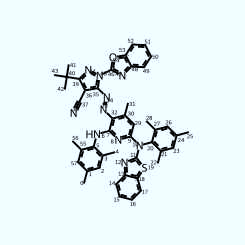 Cc1cc(C)c(Nc2nc(N(c3nc4ccccc4s3)c3c(C)cc(C)cc3C)cc(C)c2N=Nc2c(C#N)c(C(C)(C)C)nn2-c2nc3ccccc3o2)c(C)c1